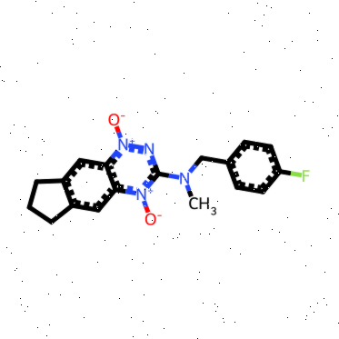 CN(Cc1ccc(F)cc1)c1n[n+]([O-])c2cc3c(cc2[n+]1[O-])CCC3